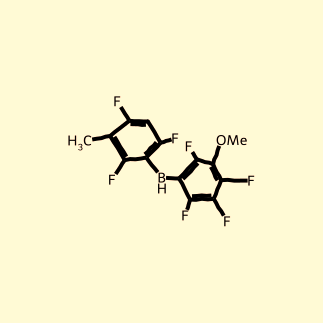 COc1c(F)c(F)c(F)c(Bc2c(F)cc(F)c(C)c2F)c1F